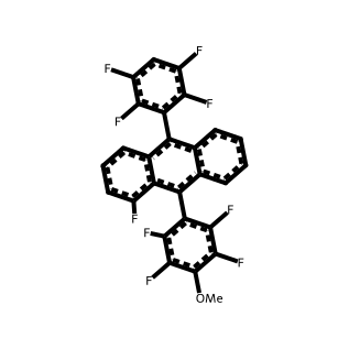 COc1c(F)c(F)c(-c2c3ccccc3c(-c3c(F)c(F)cc(F)c3F)c3cccc(F)c23)c(F)c1F